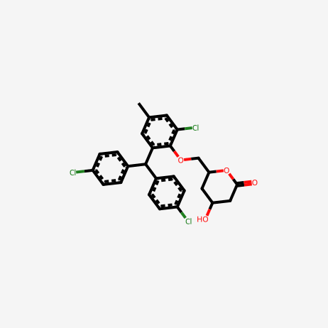 Cc1cc(Cl)c(OCC2CC(O)CC(=O)O2)c(C(c2ccc(Cl)cc2)c2ccc(Cl)cc2)c1